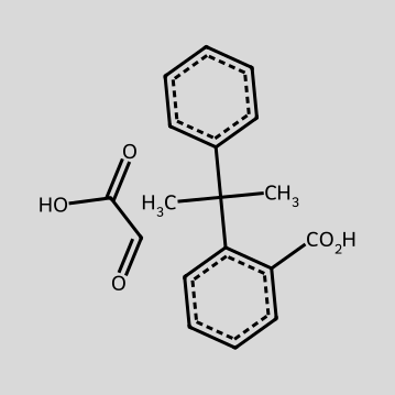 CC(C)(c1ccccc1)c1ccccc1C(=O)O.O=CC(=O)O